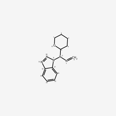 C=NN(C1CCCCO1)n1nnc2ccccc21